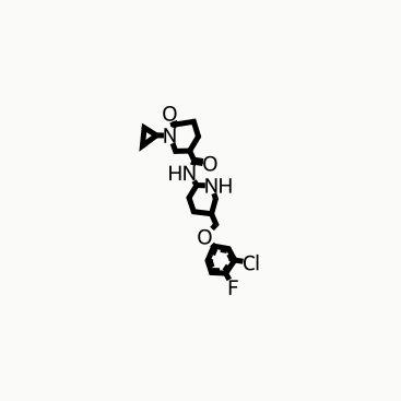 O=C(NC1CCC(COc2ccc(F)c(Cl)c2)CN1)C1CCC(=O)N(C2CC2)C1